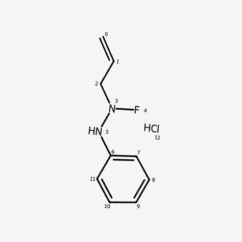 C=CCN(F)Nc1ccccc1.Cl